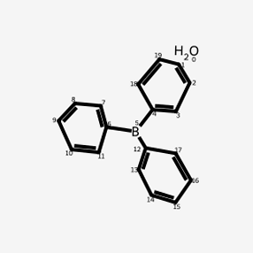 O.c1ccc(B(c2ccccc2)c2ccccc2)cc1